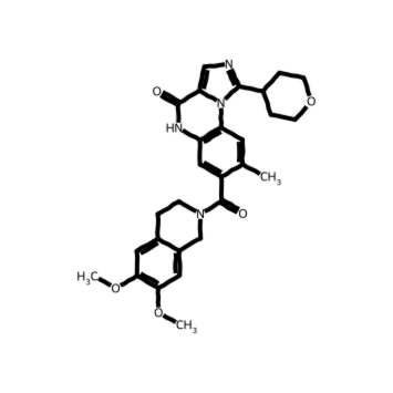 COc1cc2c(cc1OC)CN(C(=O)c1cc3[nH]c(=O)c4cnc(C5CCOCC5)n4c3cc1C)CC2